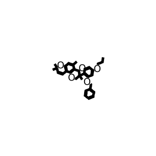 CCCOc1ccc(C2(C)COc3c4c(cc(C)c3C2=O)OC(C)(C)C=C4)c(OCc2ccccc2)c1